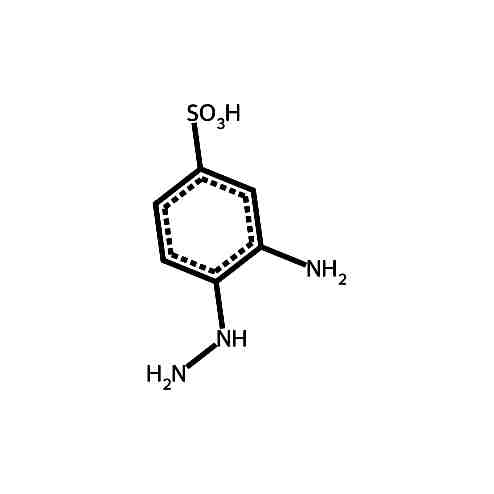 NNc1ccc(S(=O)(=O)O)cc1N